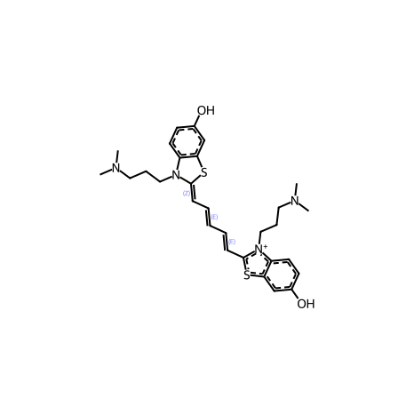 CN(C)CCCN1/C(=C/C=C/C=C/c2sc3cc(O)ccc3[n+]2CCCN(C)C)Sc2cc(O)ccc21